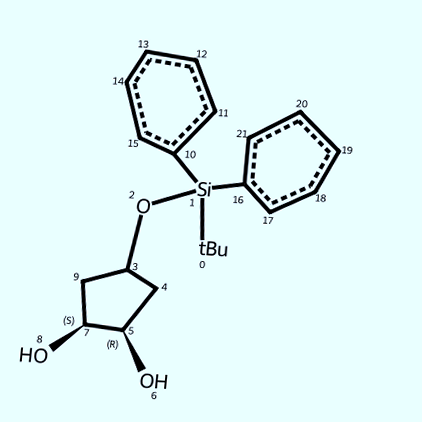 CC(C)(C)[Si](OC1C[C@@H](O)[C@@H](O)C1)(c1ccccc1)c1ccccc1